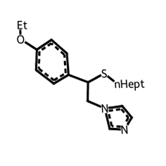 CCCCCCCSC(Cn1ccnc1)c1ccc(OCC)cc1